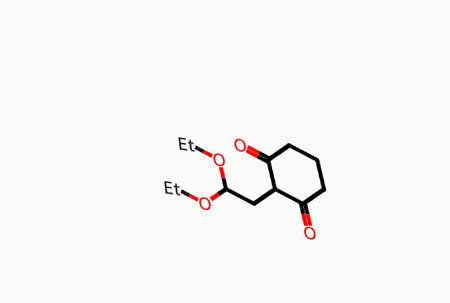 CCOC(CC1C(=O)CCCC1=O)OCC